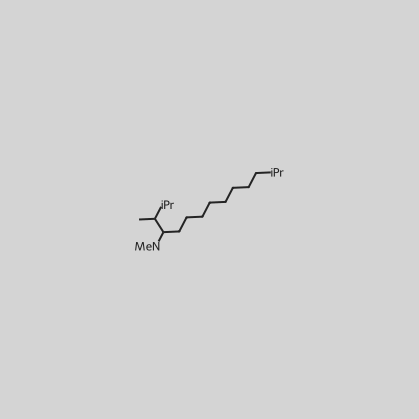 CNC(CCCCCCCCC(C)C)C(C)C(C)C